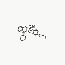 Cc1ccc(S(=O)(=O)O[C@H]2Cc3ccccc3[C@@H](C3CCCCC3)C2)cc1